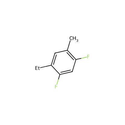 CCc1cc(C)c(F)cc1F